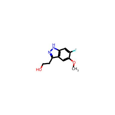 COc1cc2c(CCO)n[nH]c2cc1F